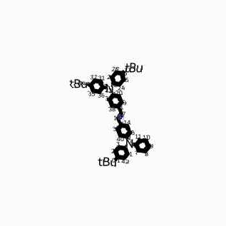 CC(C)(C)c1ccc(N(c2ccccc2)c2ccc(/C=C/c3ccc(N(c4ccc(C(C)(C)C)cc4)c4ccc(C(C)(C)C)cc4)cc3)cc2)cc1